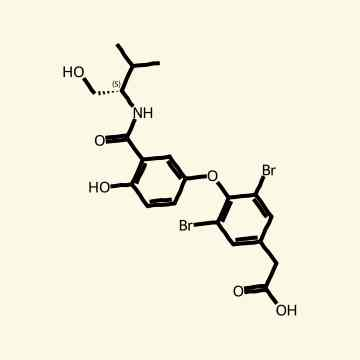 CC(C)[C@@H](CO)NC(=O)c1cc(Oc2c(Br)cc(CC(=O)O)cc2Br)ccc1O